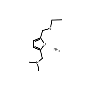 CCSCc1ccc(CN(C)C)o1.N